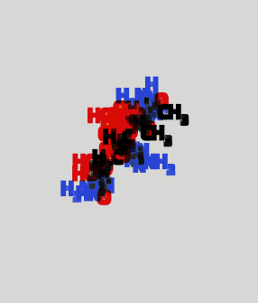 COC[C@H]1[C@@H](OC)[C@H](n2c[n+](C)c3c(=O)[nH]c(N)nc32)O[C@@H]1COP(=O)(O)OP(=O)(O)OP(=O)(O)OC[C@H]1O[C@@H](n2cnc3c(N)ncnc32)[C@H](OC)[C@@H]1OP(=O)([O-])OC[C@H]1O[C@@H](n2cnc3c(=O)[nH]c(N)nc32)[C@H](O)[C@@H]1O